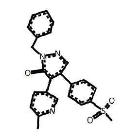 Cc1ccc(-c2c(-c3ccc(S(C)(=O)=O)cc3)cnn(Cc3ccccc3)c2=O)cn1